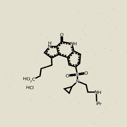 CC(C)NCCN(C1CC1)S(=O)(=O)c1ccc2[nH]c(=O)c3[nH]cc(CCCC(=O)O)c3c2c1.Cl